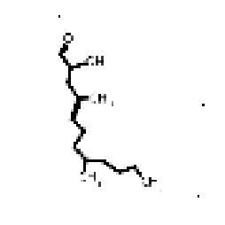 CCCCC(C)CC/C=C(\C)CC(O)C=O